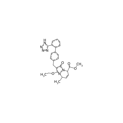 CCOc1c(Cc2ccc(-c3ccccc3-c3nnn[nH]3)cc2)c(=O)n2n1C(C)C=CC2C(=O)OC